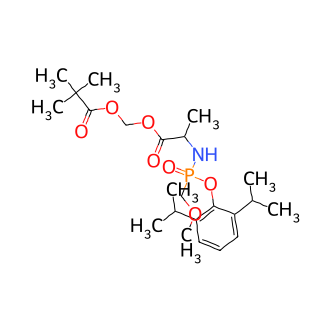 COCP(=O)(NC(C)C(=O)OCOC(=O)C(C)(C)C)Oc1c(C(C)C)cccc1C(C)C